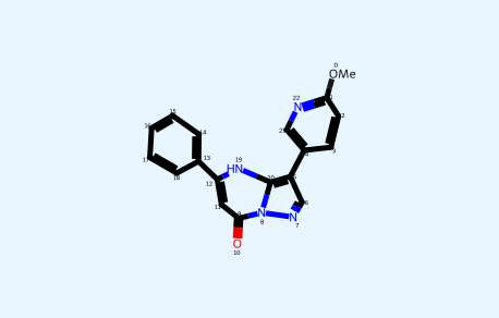 COc1ccc(-c2cnn3c(=O)cc(-c4ccccc4)[nH]c23)cn1